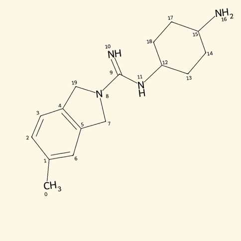 Cc1ccc2c(c1)CN(C(=N)NC1CCC(N)CC1)C2